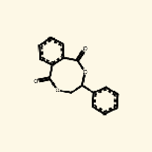 O=C1OCC(c2ccccc2)OC(=O)c2ccccc21